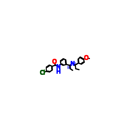 C/C=C(\N=C(/CC)c1ccc(OC)cc1)c1cccc(NC(=O)c2ccc(Cl)cc2)c1